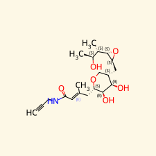 C#CCNC(=O)/C=C(\C)C[C@@H]1OC[C@H](C[C@@H]2O[C@H]2[C@@H](C)[C@H](C)O)[C@@H](O)[C@H]1O